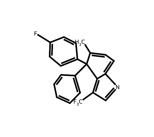 CC1=CC=C2N=CC(C(F)(F)F)=C2C1(c1ccccc1)c1ccc(F)cc1